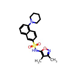 Cc1noc(NS(=O)(=O)c2ccc3c(N4CCCCC4)cccc3c2)c1C